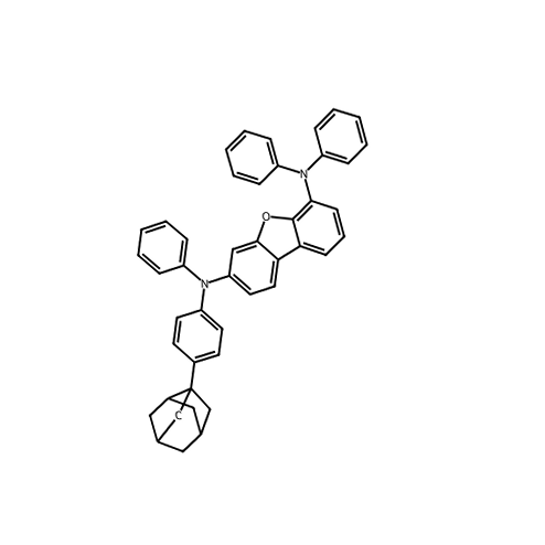 c1ccc(N(c2ccc(C34CC5CC(CC3C5)C4)cc2)c2ccc3c(c2)oc2c(N(c4ccccc4)c4ccccc4)cccc23)cc1